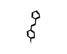 Clc1ccc(C=Cc2cc[c]cc2)cc1